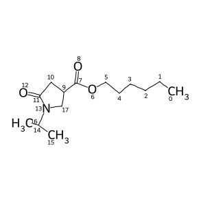 CCCCCCOC(=O)C1CC(=O)N(C(C)C)C1